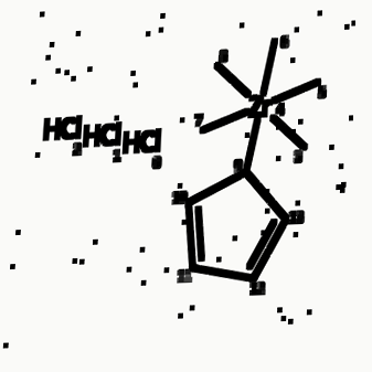 Cl.Cl.Cl.[CH3][Zr]([CH3])([CH3])([CH3])([CH3])[CH]1C=CC=C1